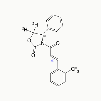 [2H]C1([2H])OC(=O)N(C(=O)/C=C/c2ccccc2C(F)(F)F)[C@H]1c1ccccc1